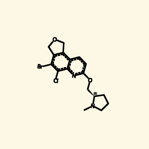 CN1CCC[C@H]1COc1ccc2c3c(c(Br)c(Cl)c2n1)COC3